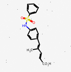 CC(/C=C/C(=O)O)=C\c1ccc(NS(=O)(=O)c2ccccc2)cc1